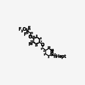 CCCCCCC[SiH]1CCC(COc2ccc(OCC(F)(F)C(F)(F)F)c(F)c2)CC1